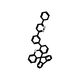 C1=CCC(c2ccc(-c3cccc(C4CC=CC5=C4Oc4ccccc4C54c5ccccc5-c5ccccc54)c3)nn2)C=C1